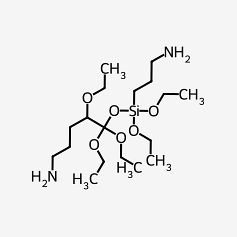 CCOC(CCCN)C(OCC)(OCC)O[Si](CCCN)(OCC)OCC